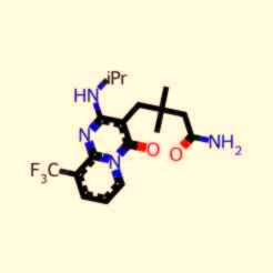 CC(C)Nc1nc2c(C(F)(F)F)cccn2c(=O)c1CC(C)(C)CC(N)=O